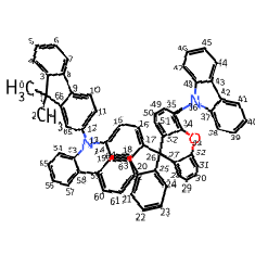 CC1(C)c2ccccc2-c2ccc(N(c3ccc4c(c3)-c3ccccc3C43c4ccccc4Oc4c(-n5c6ccccc6c6ccccc65)cccc43)c3ccccc3-c3ccccc3)cc21